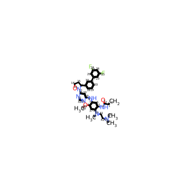 C=CC(=O)Nc1cc(Nc2cc(N3OCCC3c3cccc(-c4cc(F)cc(F)c4)c3)ncn2)c(OC)cc1N(C)CCN(C)C